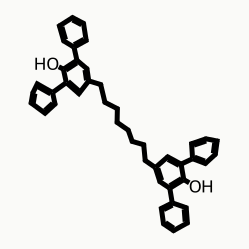 Oc1c(-c2ccccc2)cc(CCCCCCCCc2cc(-c3ccccc3)c(O)c(-c3ccccc3)c2)cc1-c1ccccc1